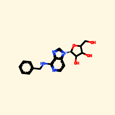 OCC1O[C@@H](n2cnc3c(NCc4ccccc4)nccc32)C(O)C1O